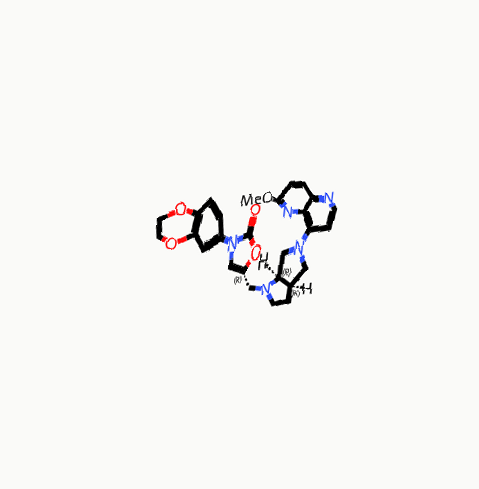 COc1ccc2nccc(N3C[C@H]4CCN(C[C@@H]5CN(c6ccc7c(c6)OCCO7)C(=O)O5)[C@H]4C3)c2n1